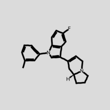 Cc1cccc(-n2cc(C3=CCN4CCC[C@@H]4C3)c3cc(F)ccc32)c1